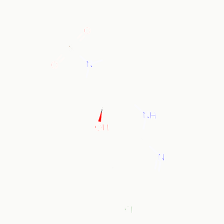 CS(=O)(=O)N1CCC(Nc2cc(I)c(Cl)cn2)[C@@H](O)C1